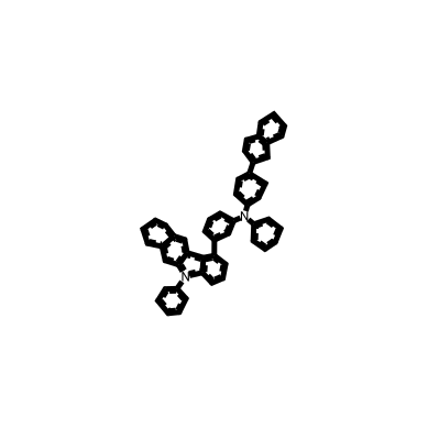 c1ccc(N(c2ccc(-c3ccc4ccccc4c3)cc2)c2cccc(-c3cccc4c3c3cc5ccccc5cc3n4-c3ccccc3)c2)cc1